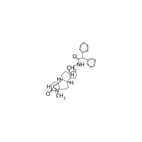 CN1C(=O)CC[C@@]2(C)C1CC[C@@H]1[C@H]2CC[C@]2(C)C(CNC(=O)C(c3ccccc3)c3ccccc3)CC[C@@H]12